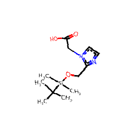 CC(C)(C)[Si](C)(C)OCc1nccn1CC(=O)O